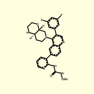 CONC(=O)Nc1ncccc1-c1ccc2ncc(-c3cc(F)cc(F)c3)c(N3CC[C@H]4NCCO[C@@H]4C3)c2c1